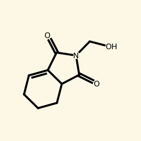 O=C1C2=CCCCC2C(=O)N1CO